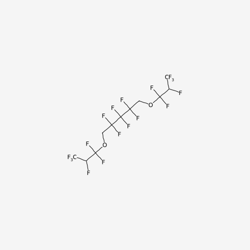 FC(C(F)(F)F)C(F)(F)OCC(F)(F)C(F)(F)C(F)(F)COC(F)(F)C(F)C(F)(F)F